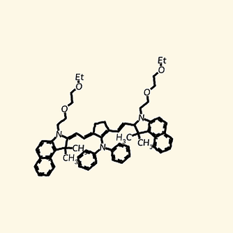 CCOCCOCCN1/C(=C/C=C2\CCC(/C=C/C3N(CCOCCOCC)c4ccc5ccccc5c4C3(C)C)=C2N(c2ccccc2)c2ccccc2)C(C)(C)c2c1ccc1ccccc21